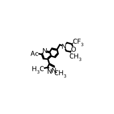 CC(=O)c1cc(-c2cn(C)nc2C)c2ccc(CN3C[C@@H](C)O[C@@H](C(F)(F)F)C3)cc2n1